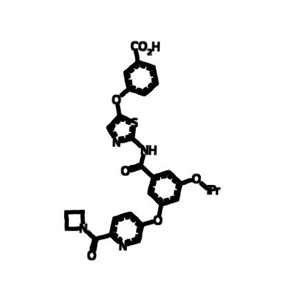 CC(C)Oc1cc(Oc2ccc(C(=O)N3CCC3)nc2)cc(C(=O)Nc2ncc(Oc3cccc(C(=O)O)c3)s2)c1